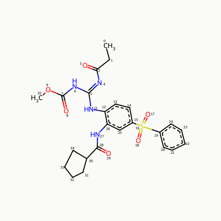 CCC(=O)N=C(NC(=O)OC)Nc1ccc(S(=O)(=O)c2ccccc2)cc1NC(=O)C1CCCC1